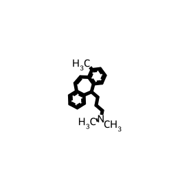 Cc1cccc2c1C=Cc1ccccc1C2CCCN(C)C